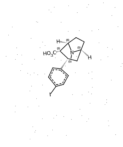 CN1[C@H]2CC[C@@H]1[C@@H](C(=O)O)[C@@H](c1ccc(I)cc1)C2